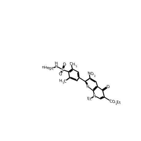 CCCCCCCNS(=O)(=O)c1c(C)cc(-c2nc3c(cc2[N+](=O)[O-])c(=O)c(C(=O)OCC)cn3CC)cc1C